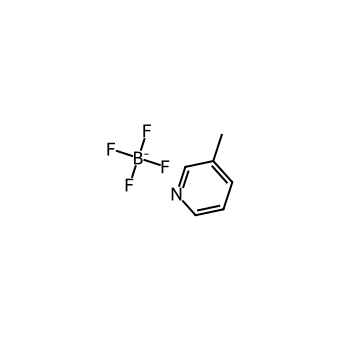 Cc1cccnc1.F[B-](F)(F)F